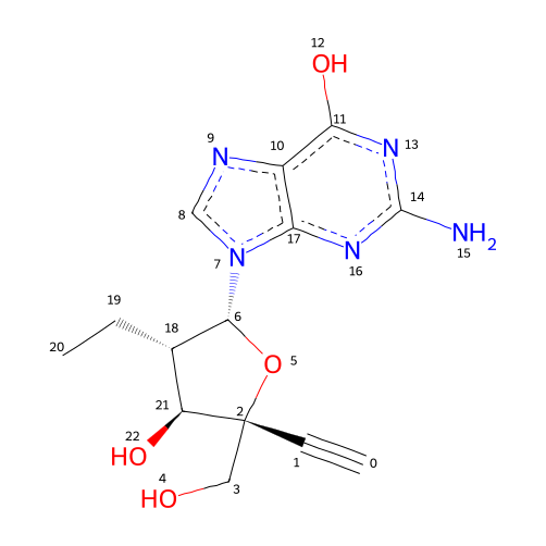 C#C[C@]1(CO)O[C@@H](n2cnc3c(O)nc(N)nc32)[C@@H](CC)[C@@H]1O